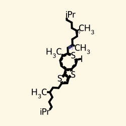 C/C(=C\c1sc(I)cc2sc3cc(CCC(C)CCCC(C)C)sc3c2ccc1C)CC[C@H](C)CCCC(C)C